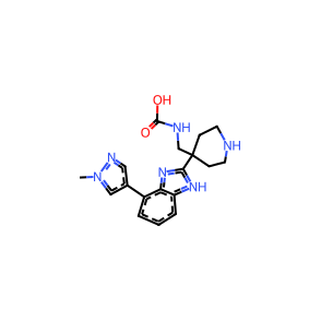 Cn1cc(-c2cccc3[nH]c(C4(CNC(=O)O)CCNCC4)nc23)cn1